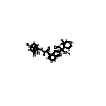 CC1(C)CNCCC1C(N)(C=O)c1cn2c(C(=O)NC[C@@H]3CC[C@@H]4C[C@H]3C4(C)C)cccc2n1